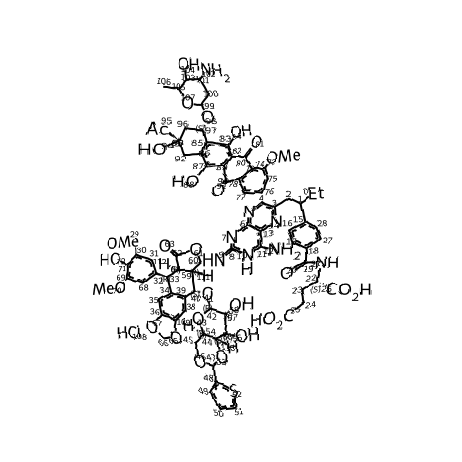 CCC(Cc1cnc2nc(=N)[nH]c(N)c2n1)c1ccc(C(=O)N[C@@H](CCC(=O)O)C(=O)O)cc1.COc1cc([C@@H]2c3cc4c(cc3[C@@H](O[C@@H]3O[C@@H]5COC(c6cccs6)O[C@H]5[C@H](O)[C@H]3O)[C@H]3COC(=O)[C@H]23)OCO4)cc(OC)c1O.COc1cccc2c1C(=O)c1c(O)c3c(c(O)c1C2=O)C[C@@](O)(C(C)=O)C[C@@H]3OC1CC(N)C(O)C(C)O1.Cl